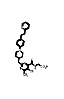 Cc1nc(CC2CCN(c3ccc(CCc4ccccn4)cc3)CC2)nc(C(=O)NCC(=O)O)c1O